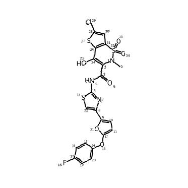 CN1C(C(=O)Nc2nc(-c3ccc(Oc4ccc(F)cc4)o3)cs2)=C(O)c2sc(Cl)cc2S1(=O)=O